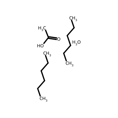 CC(=O)O.CCCCCC.CCCCCC.O